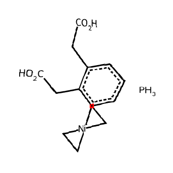 O=C(O)Cc1ccc[c]([Ni]23([CH2][CH2]2)[CH2][CH2]3)c1CC(=O)O.P